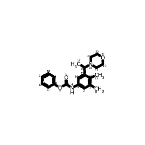 Cc1cc(NC(=O)Oc2ccccc2)cc(C(C)N2CCOCC2)c1C